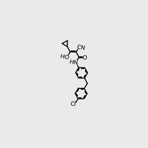 N#CC(C(=O)Nc1ccc(Cc2ccc(Cl)cc2)cc1)=C(O)C1CC1